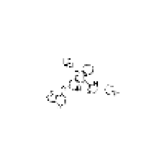 Cl.Cl.c1ccc(Oc2cc(Sc3ccnc4ccsc34)cnc2Nc2nc(C3CCNC3)cs2)cc1